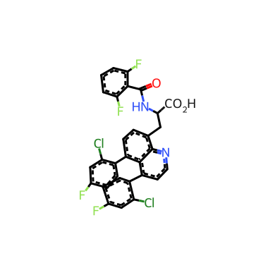 O=C(NC(Cc1ccc(-c2ccc(F)cc2Cl)c2c(-c3ccc(F)cc3Cl)ccnc12)C(=O)O)c1c(F)cccc1F